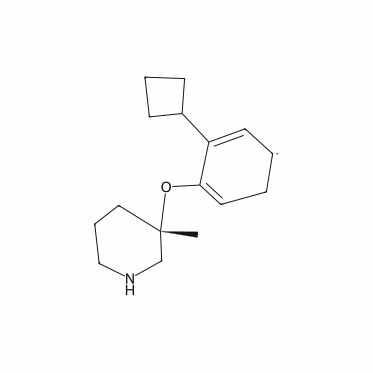 C[C@]1(OC2=CC[CH]C=C2C2CCC2)CCCNC1